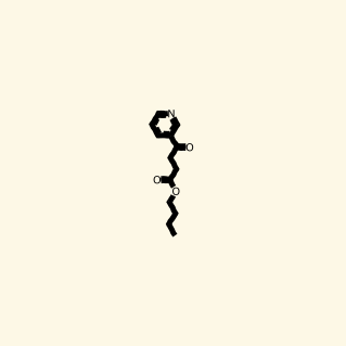 CCCCOC(=O)CCC(=O)c1cccnc1